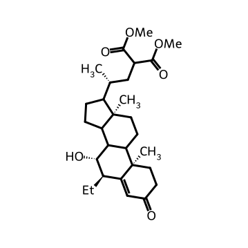 CC[C@@H]1C2=CC(=O)CC[C@]2(C)C2CC[C@@]3(C)C(CCC3[C@H](C)CC(C(=O)OC)C(=O)OC)C2[C@H]1O